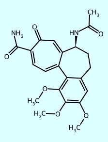 COc1cc2c(c(OC)c1OC)-c1ccc(C(N)=O)c(=O)cc1[C@@H](NC(C)=O)CC2